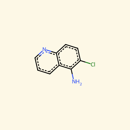 Nc1c(Cl)ccc2ncccc12